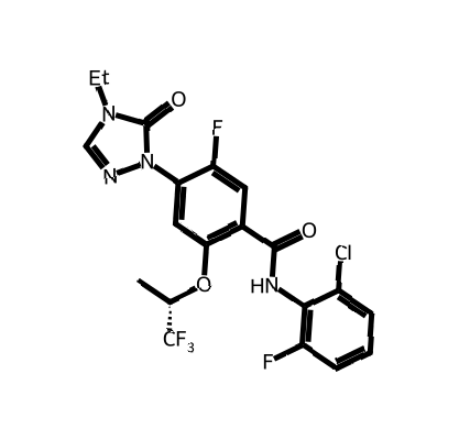 CCn1cnn(-c2cc(O[C@@H](C)C(F)(F)F)c(C(=O)Nc3c(F)cccc3Cl)cc2F)c1=O